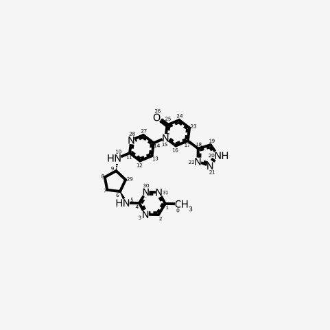 Cc1cnc(N[C@H]2CC[C@H](Nc3ccc(-n4cc(-c5c[nH]nn5)ccc4=O)cn3)C2)nn1